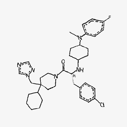 CN(c1ccc(F)cc1)C1CCC(N[C@H](Cc2ccc(Cl)cc2)C(=O)N2CCC(Cn3cncn3)(C3CCCCC3)CC2)CC1